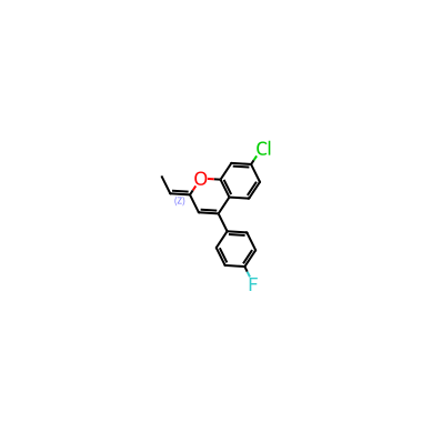 C/C=C1/C=C(c2ccc(F)cc2)c2ccc(Cl)cc2O1